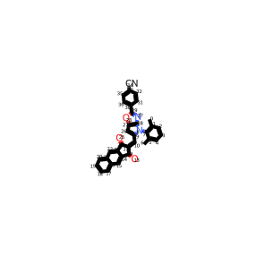 Cc1cccc(C)c1-n1c(C=C2C(=O)c3cc4ccccc4cc3C2=O)cc2oc(-c3ccc(C#N)cc3)nc21